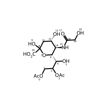 CC(=O)OCC(OC(C)=O)C(O)[C@@H]1OC(O)(C(=O)O)C[C@H](O)[C@H]1NC(=O)CO